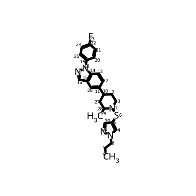 CCCn1cc(SN2CCC(c3ccc4c(cnn4-c4ccc(F)cc4)c3)CC2C)cn1